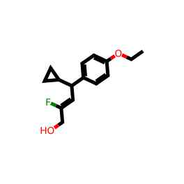 CCOc1ccc(C(C=C(F)CO)C2CC2)cc1